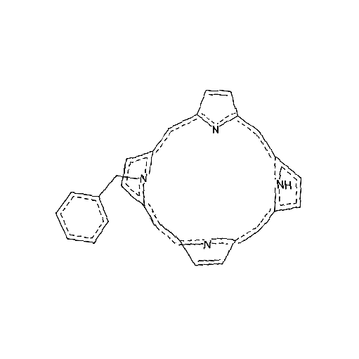 C1=Cc2cc3ccc(cc4nc(cc5ccc(cc1n2)[nH]5)C=C4)n3Cc1ccccc1